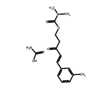 Cc1cccc(C=CC(=O)CCOC(=S)N(C)C)c1.NC(O)=S